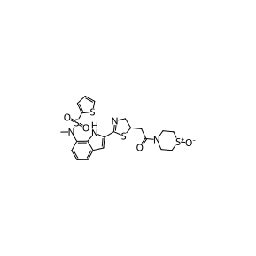 CN(c1cccc2cc(C3=NCC(CC(=O)N4CC[S+]([O-])CC4)S3)[nH]c12)S(=O)(=O)c1cccs1